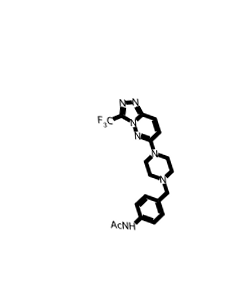 CC(=O)Nc1ccc(CN2CCN(c3ccc4nnc(C(F)(F)F)n4n3)CC2)cc1